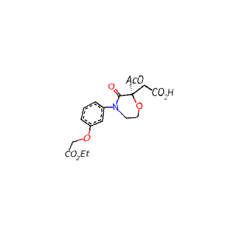 CCOC(=O)COc1cccc(N2CCO[C@@](CC(=O)O)(OC(C)=O)C2=O)c1